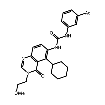 COCCn1cnc2ccc(NC(=O)Nc3cccc(C(C)=O)c3)c(C3CCCCC3)c2c1=O